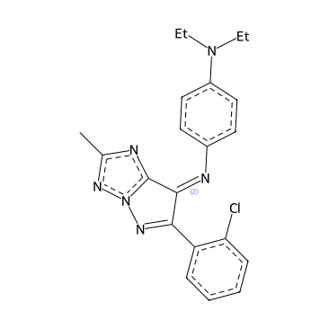 CCN(CC)c1ccc(/N=C2/C(c3ccccc3Cl)=Nn3nc(C)nc32)cc1